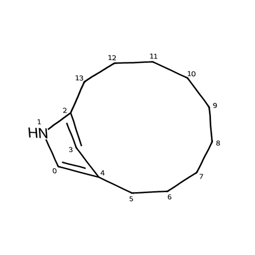 c1[nH]c2cc1CCCCCCCCC2